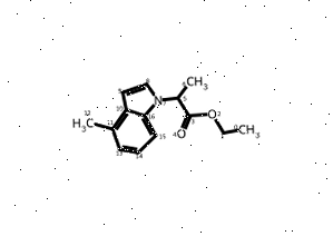 CCOC(=O)C(C)n1ccc2c(C)cccc21